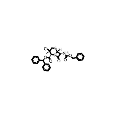 C[C@@]1(Cl)CS[C@@H]2[C@H](NC(=O)OCc3ccccc3)C(=O)N2[C@H]1C(=O)OC(c1ccccc1)c1ccccc1